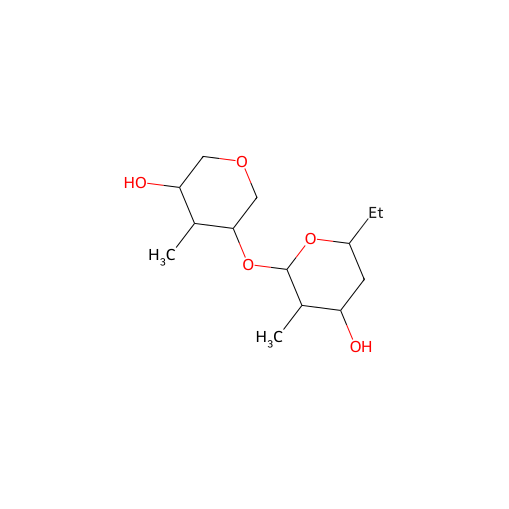 CCC1CC(O)C(C)C(OC2COCC(O)C2C)O1